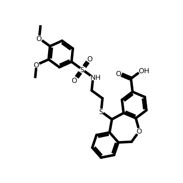 COc1ccc(S(=O)(=O)NCCSC2c3ccccc3COc3ccc(C(=O)O)cc32)cc1OC